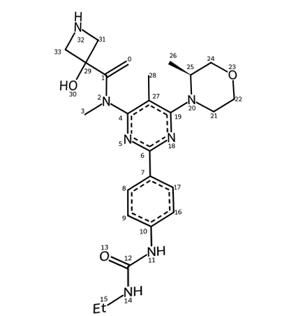 C=C(N(C)c1nc(-c2ccc(NC(=O)NCC)cc2)nc(N2CCOC[C@@H]2C)c1C)C1(O)CNC1